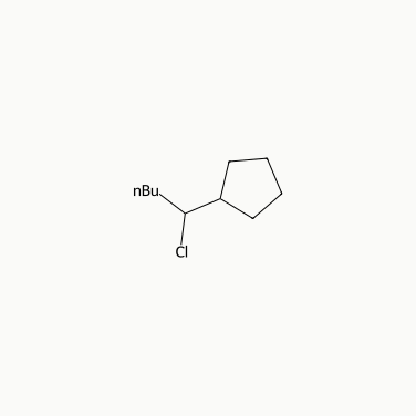 CCCCC(Cl)C1CCCC1